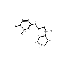 CC1C=CC(OCCN(C)C2CCOCC2)=CC1C